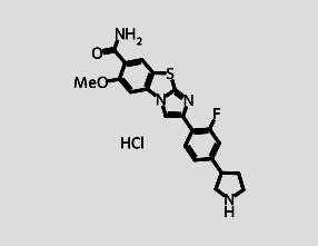 COc1cc2c(cc1C(N)=O)sc1nc(-c3ccc(C4CCNC4)cc3F)cn12.Cl